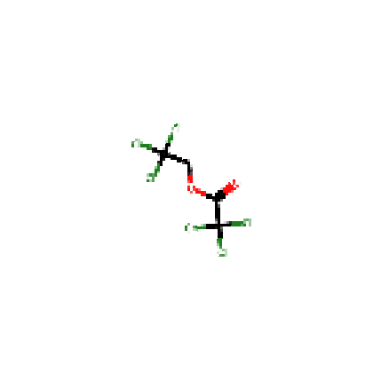 O=C(OCC(Cl)(Cl)Cl)C(Cl)(Cl)Cl